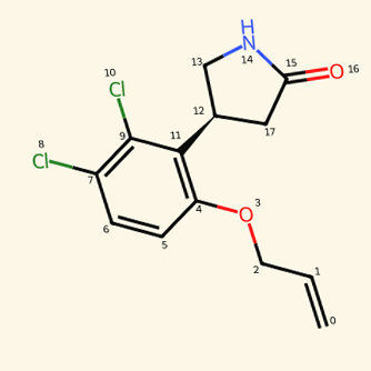 C=CCOc1ccc(Cl)c(Cl)c1[C@H]1CNC(=O)C1